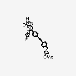 COC1CN(Cc2ccc(C#Cc3ccc(C(Cc4nc[nH]c(=O)c4O)CN4CC(F)C4)cc3)cc2)C1